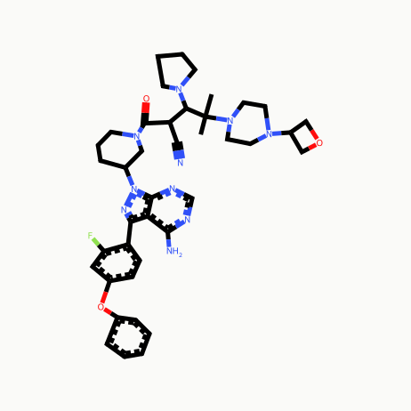 CC(C)(C(C(C#N)C(=O)N1CCCC(n2nc(-c3ccc(Oc4ccccc4)cc3F)c3c(N)ncnc32)C1)N1CCCC1)N1CCN(C2COC2)CC1